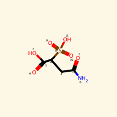 NC(=O)CC(C(=O)O)S(=O)(=O)O